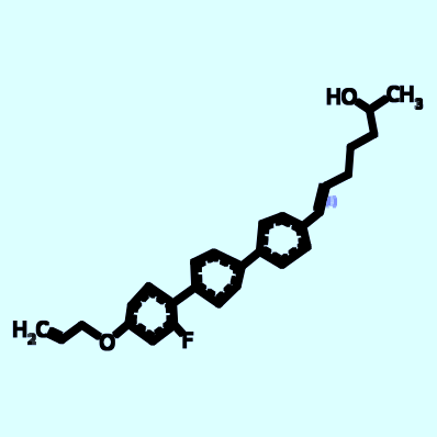 C=CCOc1ccc(-c2ccc(-c3ccc(/C=C/CCCC(C)O)cc3)cc2)c(F)c1